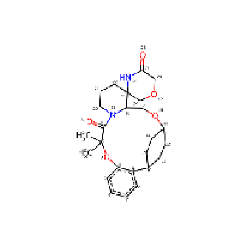 CC1(C)Oc2ccccc2C2CCC(CC2)OCC2N(CCCC23COCC(=O)N3)C1=O